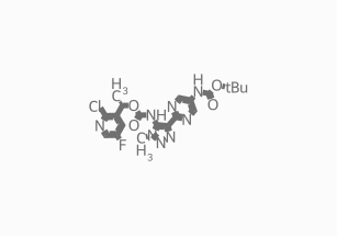 C[C@@H](OC(=O)Nc1c(-c2ncc(NC(=O)OC(C)(C)C)cn2)nnn1C)c1cc(F)cnc1Cl